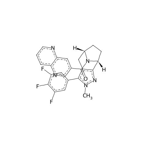 Cn1nc2c(c1-c1cc(F)c(F)c(F)c1)C[C@@H]1CC[C@H]2N1C(=O)c1cnc2cccnc2c1